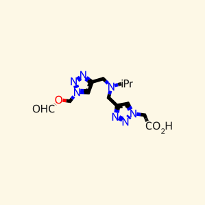 CC(C)N(Cc1cn(COC=O)nn1)Cc1cn(CC(=O)O)nn1